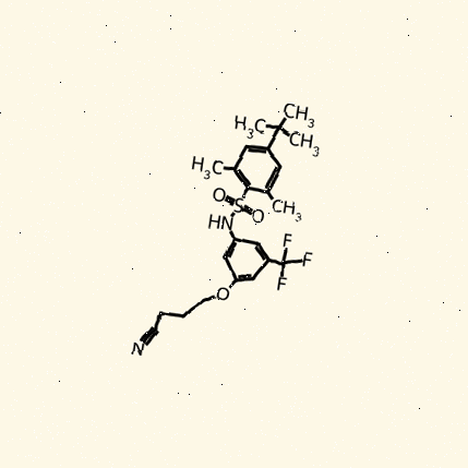 Cc1cc(C(C)(C)C)cc(C)c1S(=O)(=O)Nc1cc(OCCCC#N)cc(C(F)(F)F)c1